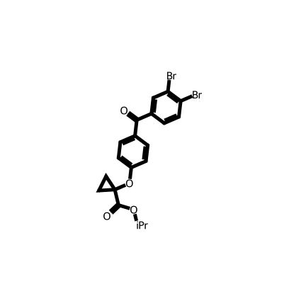 CC(C)OC(=O)C1(Oc2ccc(C(=O)c3ccc(Br)c(Br)c3)cc2)CC1